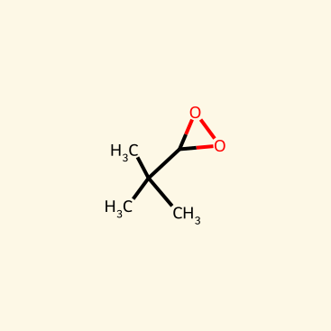 CC(C)(C)C1OO1